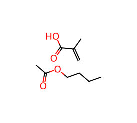 C=C(C)C(=O)O.CCCCOC(C)=O